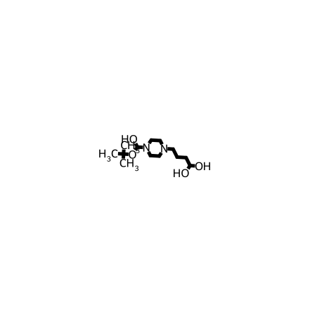 CC(C)(C)OC(O)N1CCN(CCCC(O)O)CC1